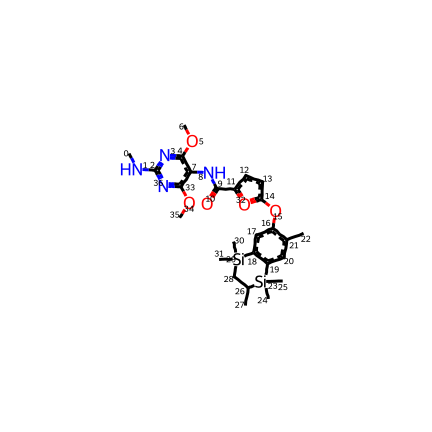 CNc1nc(OC)c(NC(=O)c2ccc(Oc3cc4c(cc3C)[Si](C)(C)C(C)C[Si]4(C)C)o2)c(OC)n1